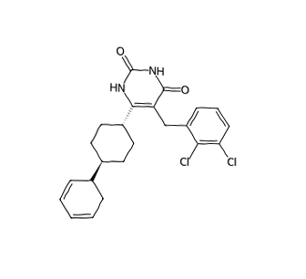 O=c1[nH]c(=O)c(Cc2cccc(Cl)c2Cl)c([C@H]2CC[C@H](C3C=CC=CC3)CC2)[nH]1